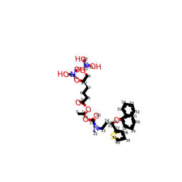 CC(OC(=O)CCC[C@H](CON(O)O)ON(O)O)OC(=O)N(C)CC[C@H](Oc1cccc2ccccc12)c1cccs1